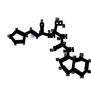 O=C(/C=C/c1ccsc1)NC(NC(=S)Nc1cccc2cccnc12)C(Cl)(Cl)Cl